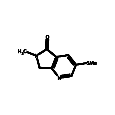 CSc1cnc2c(c1)C(=O)N(C)C2